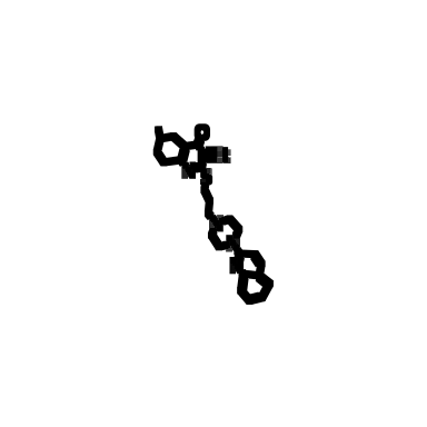 CCn1c(SCCCN2CCN(c3ccc4ccccc4n3)CC2)nc2c(c1=O)CC(C)CC2